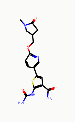 CN1CC(COc2ccc(-c3cc(C(N)=O)c(NC(N)=O)s3)cn2)CC1=O